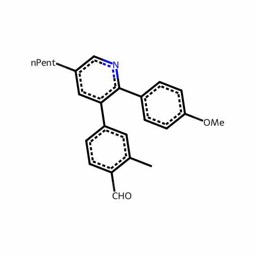 CCCCCc1cnc(-c2ccc(OC)cc2)c(-c2ccc(C=O)c(C)c2)c1